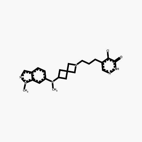 CN(c1ccc2cnn(C)c2c1)C1CC2(C1)CN(CCCc1cn[nH]c(=O)c1Cl)C2